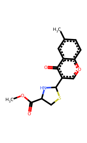 COC(=O)C1CSC(c2coc3ccc(C)cc3c2=O)N1